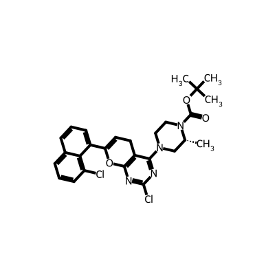 C[C@@H]1CN(c2nc(Cl)nc3c2CC=C(c2cccc4cccc(Cl)c24)O3)CCN1C(=O)OC(C)(C)C